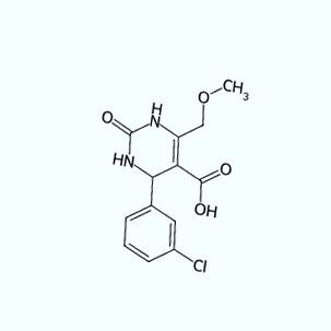 COCC1=C(C(=O)O)C(c2cccc(Cl)c2)NC(=O)N1